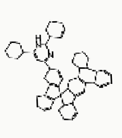 C1=CC2C3=C(CC4C(=C3)C3C=CCCC3C43C4=C(CCC=C4)C4=C3C=CC(C3=NC(C5C=CCCC5)NC(C5CCCCC5)=C3)C4)C3CCCCC3C2C=C1